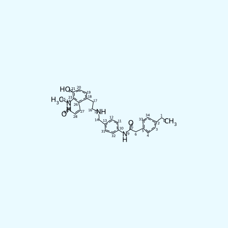 CCc1ccc(CC(=O)Nc2ccc(CNCCc3ccc(O)c(NC)c3/C=C\C=O)cc2)cc1